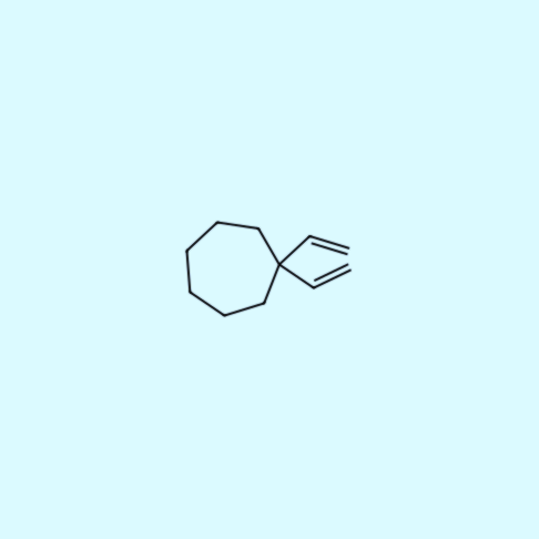 C=CC1(C=C)CCCCCC1